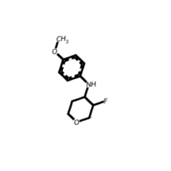 COc1ccc(NC2CCO[CH]C2F)cc1